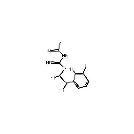 [2H]c1cccc(C([2H])C([2H])NC(=N)NC(C)=N)c1[2H]